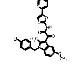 COc1ccc2c(c1)c(C(=O)C(=O)Nc1ncc(-c3ccccn3)o1)c(C)n2Cc1ccc(Cl)cc1